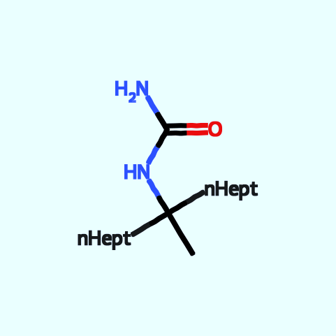 CCCCCCCC(C)(CCCCCCC)NC(N)=O